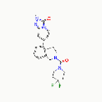 Cn1nc2cc(-c3cccc4c3CCN(C(=O)N3CCC(F)(F)CC3)C4)ccn2c1=O